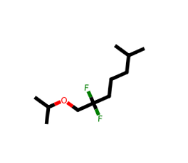 CC(C)CCCC(F)(F)COC(C)C